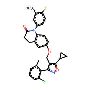 Cc1cccc(Cl)c1-c1noc(C2CC2)c1COc1ccc2c(c1)CCC(=O)N2c1ccc(F)c(C(=O)O)c1